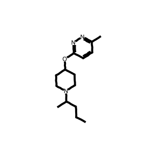 CCCC(C)N1CCC(Oc2ccc(C)nn2)CC1